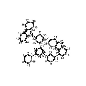 c1ccc(-c2nc(-c3cccc(-c4cccc5sc6ccccc6c45)c3)nc(-c3cccc(-n4c5ccccc5c5ccccc54)c3)n2)cc1